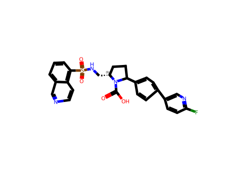 O=C(O)N1C(c2ccc(-c3ccc(F)nc3)cc2)CC[C@H]1CNS(=O)(=O)c1cccc2cnccc12